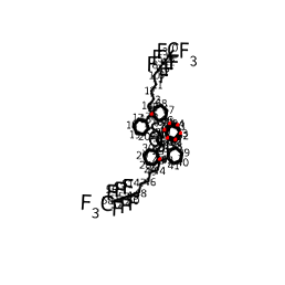 FC(F)(F)C(F)(F)C(F)(F)C(F)(F)CCCCCCc1ccccc1[Si](O[Si](c1ccccc1)(c1ccccc1)c1ccccc1CCCCCCC(F)(F)C(F)(F)C(F)(F)C(F)(F)F)(c1ccccc1)c1ccccc1